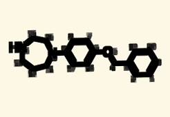 c1ccc(COc2ccc(N3CCCNCC3)cc2)cc1